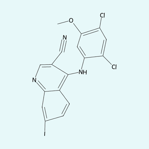 COc1cc(Nc2c(C#N)cnc3cc(I)ccc23)c(Cl)cc1Cl